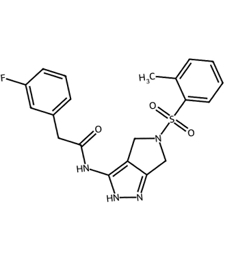 Cc1ccccc1S(=O)(=O)N1Cc2n[nH]c(NC(=O)Cc3cccc(F)c3)c2C1